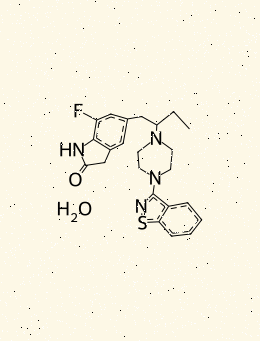 CCC(Cc1cc(F)c2c(c1)CC(=O)N2)N1CCN(c2nsc3ccccc23)CC1.O